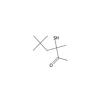 CC(=O)C(C)(S)CC(C)(C)C